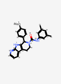 COc1ccc(C2c3[nH]c4ncccc4c3CCN2C(=O)Nc2cc(C)cc(C)c2)cc1